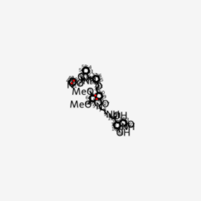 COc1ccc(CN(CCCNCC(O)c2ccc(O)c3[nH]c(=O)ccc23)C(=O)c2ccc(COc3cccc([C@@H](NC(=O)OC4CN5CCC4CC5)c4ccccc4)c3)cc2)c(OC)c1